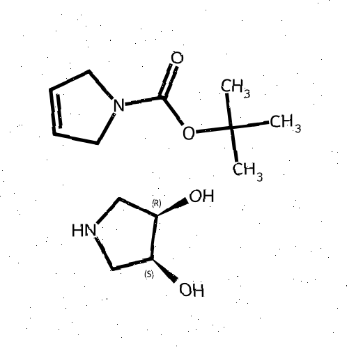 CC(C)(C)OC(=O)N1CC=CC1.O[C@@H]1CNC[C@@H]1O